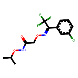 CC(C)ONC(=O)CON=C(c1cccc(Cl)c1)C(F)(F)F